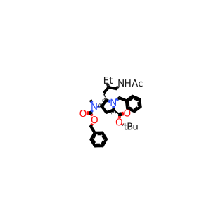 CCC(CNC(C)=O)C[C@H]1[C@H](N(C)C(=O)OCc2ccccc2)C[C@H](C(=O)OC(C)(C)C)N1Cc1ccccc1